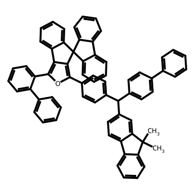 CC1(C)c2ccccc2-c2ccc(C(c3ccc(-c4ccccc4)cc3)c3ccc(-c4oc(-c5ccccc5-c5ccccc5)c5c4C4(c6ccccc6-c6ccccc64)c4ccccc4-5)cc3)cc21